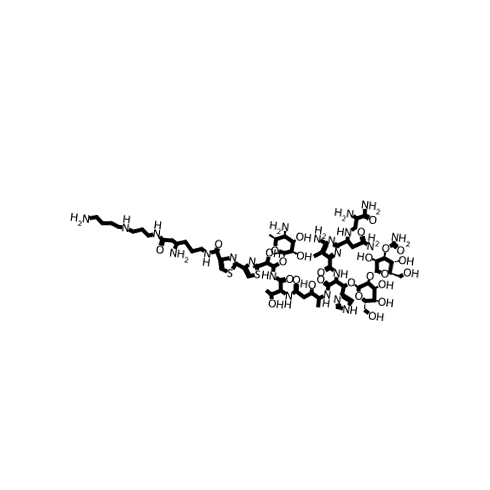 Cc1c(N)nc(C(CC(N)=O)NCC(N)C(N)=O)nc1C(=O)NC(C(=O)NC(C)C(O)CC(=O)NC(C(=O)NC(O[C@@H]1O[C@@H](C)[C@@H](N)[C@@H](O)[C@H]1O)C(O)c1nc(-c2nc(C(=O)NCCCC(N)CC(=O)NCCCNCCCCN)cs2)cs1)C(C)O)C(O[C@@H]1O[C@@H](CO)[C@@H](O)[C@H](O)[C@@H]1O[C@H]1O[C@H](CO)[C@@H](O)[C@H](OC(N)=O)[C@@H]1O)c1c[nH]cn1